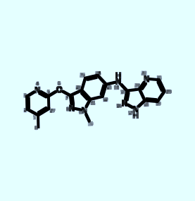 Cc1ccnc(Oc2nn(C)c3cc(Nc4n[nH]c5cccnc45)ccc23)c1